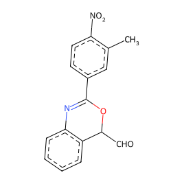 Cc1cc(C2=Nc3ccccc3C(C=O)O2)ccc1[N+](=O)[O-]